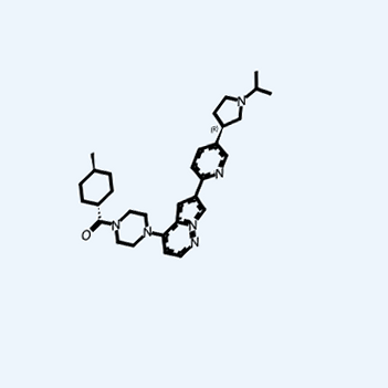 CC(C)N1CC[C@H](c2ccc(-c3cc4c(N5CCN(C(=O)[C@H]6CC[C@H](C)CC6)CC5)ccnn4c3)nc2)C1